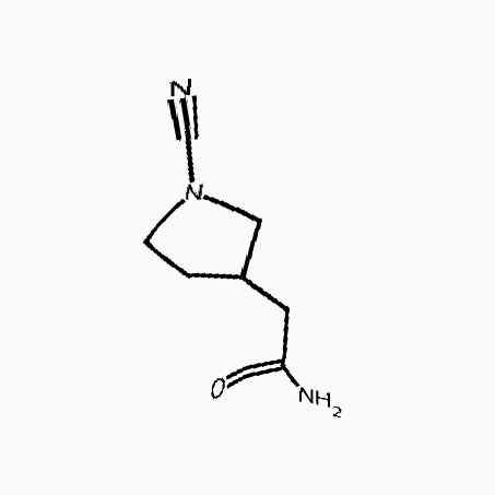 N#CN1CCC(CC(N)=O)C1